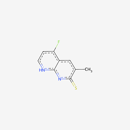 Cc1cc2c(F)cc[nH]c-2nc1=S